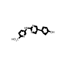 O=C(O)c1ccc(Nc2ncc(-c3ccc(O)cc3)cn2)cn1